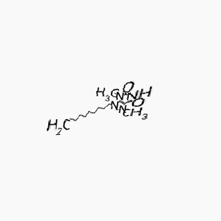 C=CCCCCCCCCN1CN(C)c2c1n(C)c(=O)[nH]c2=O